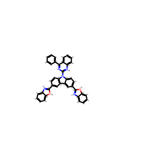 c1ccc(-c2nc(-n3c4ccc(-c5nc6ccccc6o5)cc4c4cc(-c5nc6ccccc6o5)ccc43)nc3ccccc23)cc1